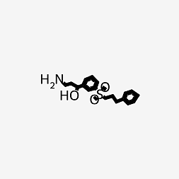 NCCC(O)c1cccc(S(=O)(=O)CCCc2ccccc2)c1